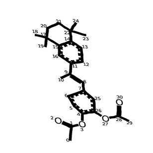 CC(=O)Oc1ccc(C=C(C)c2ccc3c(c2)C(C)(C)CCC3(C)C)cc1OC(C)=O